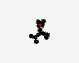 c1ccc(-c2cc(-c3ccccc3)cc(-c3ccc(N(c4ccc(-c5ccc(-c6ccccc6-n6c7ccccc7c7ccccc76)cc5)cc4)c4ccc(-c5cccc6ccccc56)cc4)cc3)c2)cc1